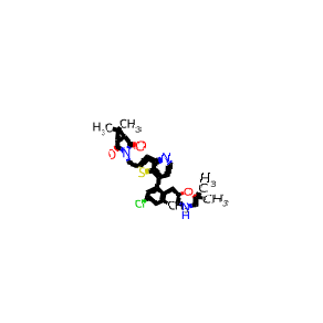 Cc1cc(Cl)cc(-c2ccnc3cc(CN4C(=O)C5C(C4=O)C5(C)C)sc23)c1CC1CNCC(C)(C)O1